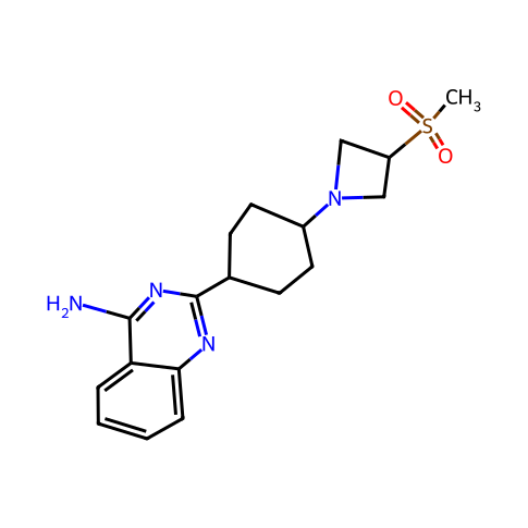 CS(=O)(=O)C1CN(C2CCC(c3nc(N)c4ccccc4n3)CC2)C1